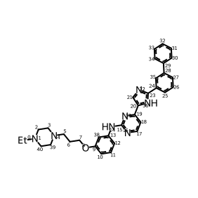 CCN1CCN(CCCOc2cccc(Nc3nccc(-c4cnc(-c5cccc(-c6ccccc6)c5)[nH]4)n3)c2)CC1